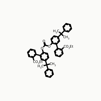 CCOC(=O)c1ccccc1-c1cc(C(C)(C)c2ccccc2)ccc1OC(=O)Oc1ccc(C(C)(C)c2ccccc2)cc1-c1ccccc1C(=O)OCC